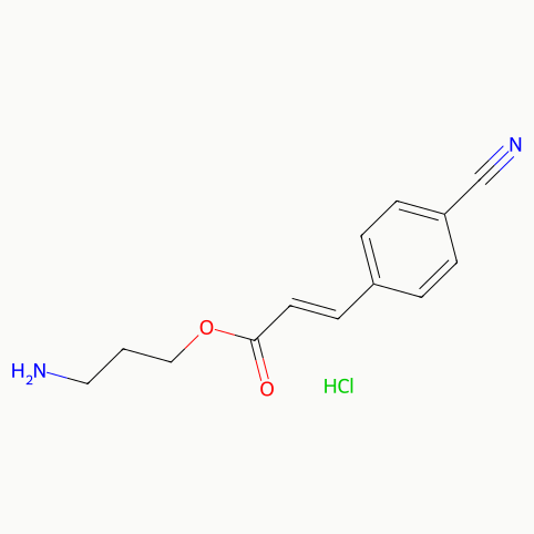 Cl.N#Cc1ccc(/C=C/C(=O)OCCCN)cc1